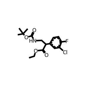 CCOC(=O)C(CNC(=O)OC(C)(C)C)c1ccc(F)c(Cl)c1